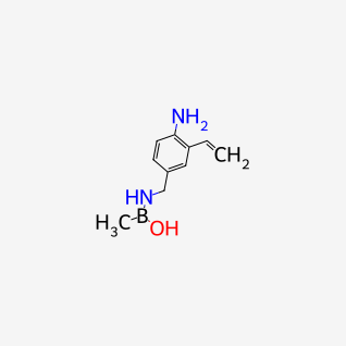 C=Cc1cc(CNB(C)O)ccc1N